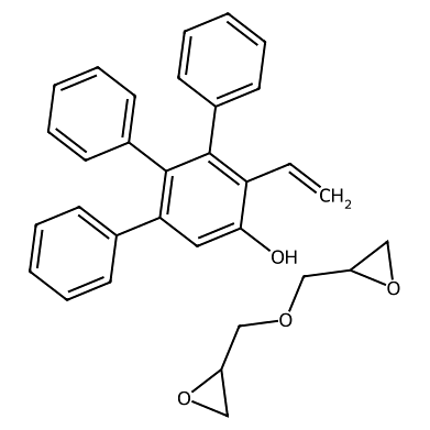 C(OCC1CO1)C1CO1.C=Cc1c(O)cc(-c2ccccc2)c(-c2ccccc2)c1-c1ccccc1